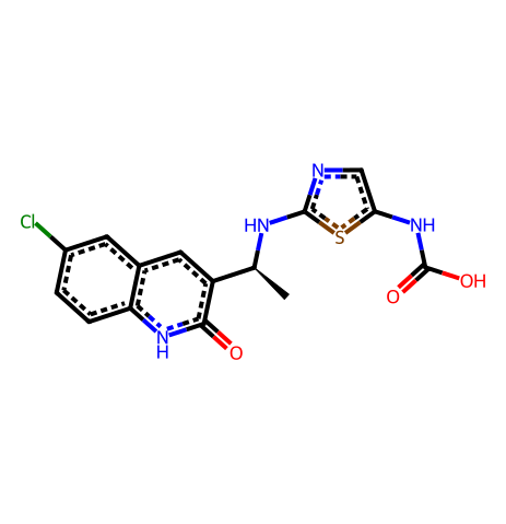 C[C@H](Nc1ncc(NC(=O)O)s1)c1cc2cc(Cl)ccc2[nH]c1=O